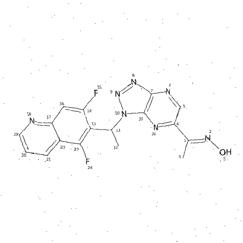 CC(=NO)c1cnc2nnn(C(C)c3c(F)cc4ncccc4c3F)c2n1